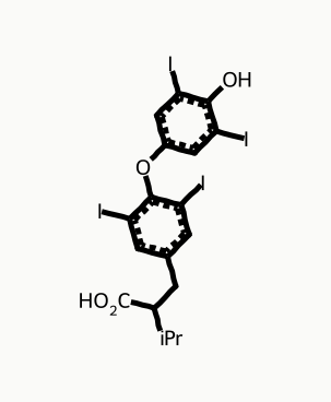 CC(C)C(Cc1cc(I)c(Oc2cc(I)c(O)c(I)c2)c(I)c1)C(=O)O